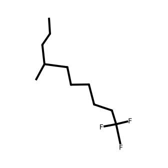 CCCC(C)CCCCCC(F)(F)F